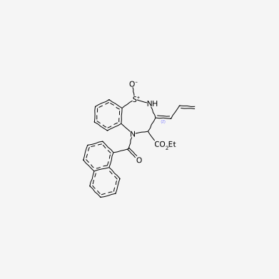 C=C/C=C1\N[S+]([O-])c2ccccc2N(C(=O)c2cccc3ccccc23)C1C(=O)OCC